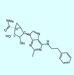 CNC(=O)[C@]12CC1[C@@H](n1cnc3c(NCCc4ccccc4)nc(I)nc31)C(O)[C@@H]2O